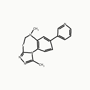 Cc1nnc2n1-c1ccc(-c3cccnc3)cc1N(C)CC2